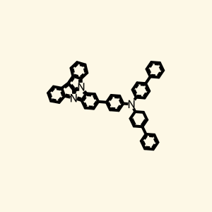 C1=CC(N(c2ccc(-c3ccccc3)cc2)c2ccc(-c3ccc4c(c3)n3c5ccccc5c5c6ccccc6n4c53)cc2)CC=C1c1ccccc1